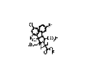 CC(C)(C)C[C@@H]1N(C(F)(F)C(=O)OF)[C@H](C(=O)O)[C@H](c2cccc(Br)c2)[C@@]1(C#N)c1ccc(Cl)cc1F